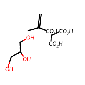 C=C(C)C(=O)O.O=C(O)CC(=O)O.OCC(O)CO